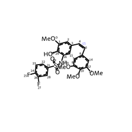 COc1cc(/C=C\c2cc(OC)c(OC)c(OC)c2)cc(NS(=O)(=O)c2ccc(F)c(F)c2)c1O